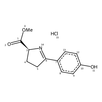 COC(=O)[C@@H]1CCC(c2ccc(O)cc2)=N1.Cl